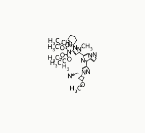 CO[C@H]1C[C@](CC#N)(n2cc(-c3nc(C4C=C(N(C(=O)OC(C)(C)C)C(=O)OC(C)(C)C)N(C5CCCCO5)N4C)cn4nccc34)cn2)C1